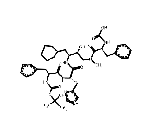 CN(C[C@H](O)[C@H](CC1CCCCC1)NC(=O)[C@H](Cc1c[nH]cn1)NC(=O)[C@H](Cc1ccccc1)NC(=O)OC(C)(C)C)C(=O)[C@H](Cc1ccccc1)NC(=O)O